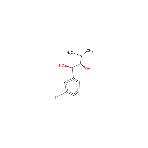 CC(C)[C@@H](O)[C@H](O)c1cccc(I)c1